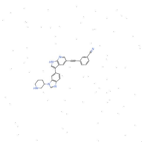 N#Cc1cccc(C#Cc2cnc3[nH]cc(-c4ccc5ncn(C6CCCNC6)c5c4)c3c2)c1